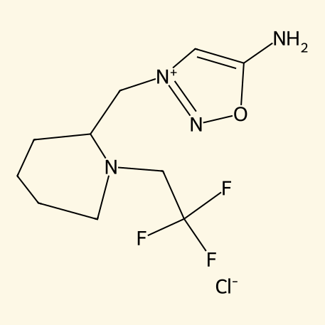 Nc1c[n+](CC2CCCCN2CC(F)(F)F)no1.[Cl-]